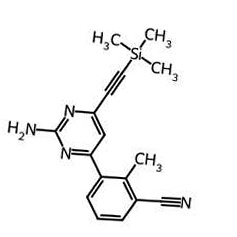 Cc1c(C#N)cccc1-c1cc(C#C[Si](C)(C)C)nc(N)n1